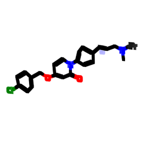 CC(C)N(C)C/C=C/c1ccc(-n2ccc(OCc3ccc(Cl)cc3)cc2=O)cc1